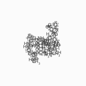 C#C[C@]1(O)CC[C@H]2[C@@H]3CCC4=CC(=O)CC[C@@H]4[C@H]3CC[C@@]21C.CC(C)[C@H]1CC[C@H](C(=O)N[C@H](Cc2ccccc2)C(=O)O)CC1.CN(C)c1ccc(O)c2c1C[C@H]1C[C@H]3[C@H](N(C)C)C(O)=C(C(N)=O)C(=O)[C@@]3(O)C(O)=C1C2=O.CN1C(=O)CN=C(c2ccccc2)c2cc([N+](=O)[O-])ccc21.CNC(=O)c1cc(Oc2ccc(NC(=O)Nc3ccc(Cl)c(C(F)(F)F)c3)cc2)ccn1